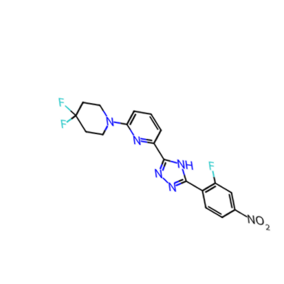 O=[N+]([O-])c1ccc(-c2nnc(-c3cccc(N4CCC(F)(F)CC4)n3)[nH]2)c(F)c1